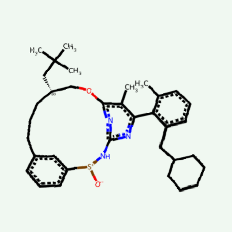 Cc1cccc(CC2CCCCC2)c1-c1nc2nc(c1C)OC[C@@H](CC(C)(C)C)CCCc1cccc(c1)[S+]([O-])N2